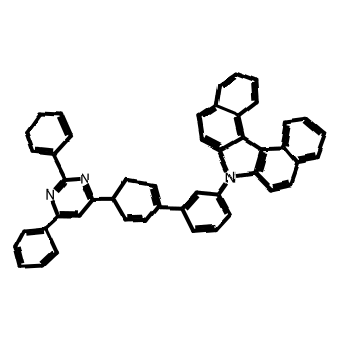 C1=CC(c2nc(-c3ccccc3)cc(C3C=CC(c4cccc(-n5c6ccc7ccccc7c6c6c7ccccc7ccc65)c4)=CC3)n2)=CCC1